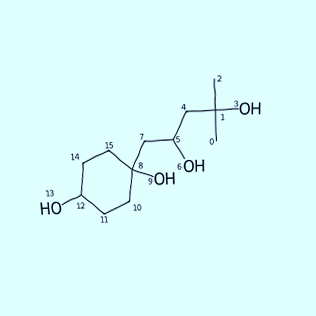 CC(C)(O)CC(O)CC1(O)CCC(O)CC1